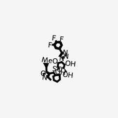 CO[C@@H]1[C@@H](n2cc(-c3cc(F)c(F)c(F)c3)nn2)[C@@H](O)[C@@H](CO)O[C@H]1S[C@H](c1c(C)noc1C1CC1)C1(O)CCCCC1